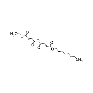 CCCCCCCCOC(=O)/C=C/C(=O)OC(=O)/C=C/C(=O)OCC